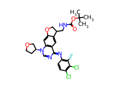 CC(C)(C)OC(=O)NCC1COc2cc3c(cc21)/c(=N/c1ccc(Cl)c(Cl)c1F)ncn3[C@H]1CCOC1